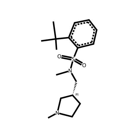 CN1CC[C@@H](CN(C)S(=O)(=O)c2ccccc2C(C)(C)C)C1